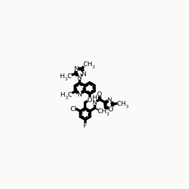 Cc1cc(-n2nc(C)nc2C)c2cccc(OCc3c(Cl)cc(F)cc3[C@H](C)NC(=O)c3coc(C)n3)c2n1